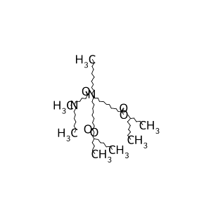 CCCCCCCCCCN(C(=O)CCCCN(C)CCCCCCCC)C(CCCCCCCCC(=O)OCC(CCCC)CCCCCC)CCCCCCCCC(=O)OCC(CCCC)CCCCCC